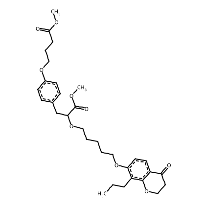 CCCc1c(OCCCCCOC(Cc2ccc(OCCCC(=O)OC)cc2)C(=O)OC)ccc2c1OCCC2=O